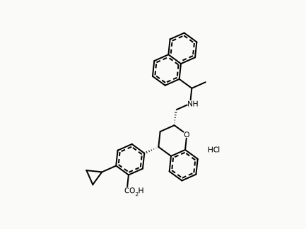 CC(NC[C@H]1C[C@@H](c2ccc(C3CC3)c(C(=O)O)c2)c2ccccc2O1)c1cccc2ccccc12.Cl